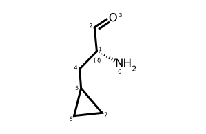 N[C@@H](C=O)CC1CC1